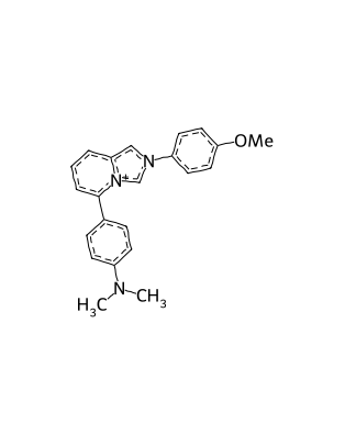 COc1ccc(-n2cc3cccc(-c4ccc(N(C)C)cc4)[n+]3c2)cc1